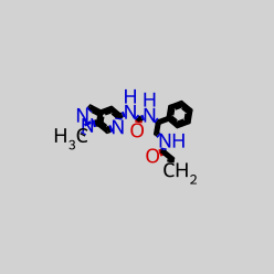 C=CC(=O)NCC(NC(=O)Nc1cc2cnn(C)c2cn1)c1ccccc1